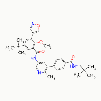 COc1c(C(=O)Nc2cnc(C)c(-c3ccc(C(=O)NCC(C)(C)C)cc3)c2)cc(C(C)(C)C)cc1-c1cnoc1